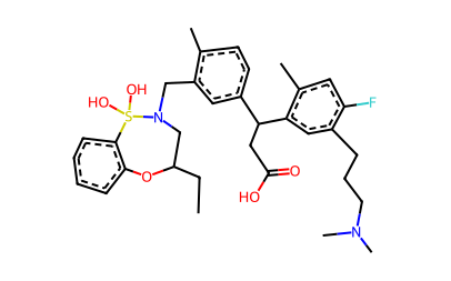 CCC1CN(Cc2cc(C(CC(=O)O)c3cc(CCCN(C)C)c(F)cc3C)ccc2C)S(O)(O)c2ccccc2O1